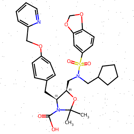 CC1(C)O[C@H](CN(CC2CCCC2)S(=O)(=O)c2ccc3c(c2)OCO3)[C@H](Cc2ccc(OCc3ccccn3)cc2)N1C(=O)O